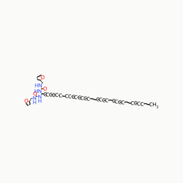 C=C=C=C=C=C=C=C=C=C=C=C=C=C=C=C=C=C=C=C=C=C=C=C=C=C=C=C=C=C=C=C=C=C=C=C(NC(=O)NCc1ccco1)NC(=O)NCc1ccco1